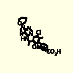 COc1c(C(C)Nc2ncnc3c2ncn3C2CCCCO2)cc(Cl)c(C)c1C1CCN(C(=O)O)CC1